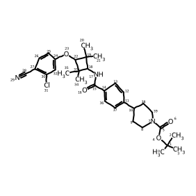 CC(C)(C)OC(=O)N1CCC(c2ccc(C(=O)NC3C(C)(C)C(Oc4ccc(C#N)c(Cl)c4)C3(C)C)cc2)CC1